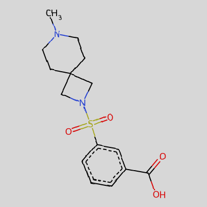 CN1CCC2(CC1)CN(S(=O)(=O)c1cccc(C(=O)O)c1)C2